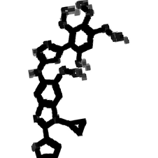 COc1cc2c(cc1Nc1nnc(-c3c(C)cc(OC)c(OC)c3OC)s1)nc(-c1ccco1)n2C1CC1